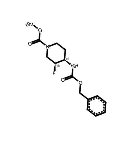 CC(C)(C)OC(=O)N1CC[C@@H](NC(=O)OCc2ccccc2)[C@@H](F)C1